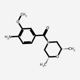 COc1cc(C(=O)N2C[C@@H](C)O[C@@H](C)C2)ccc1N